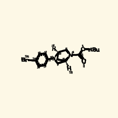 CC(C)(C)OC(=O)N1C[C@H]2C[C@@H]1CN2c1ccc(Br)cc1